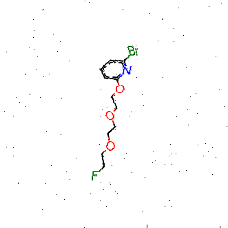 FCCOCCOCCOc1cccc(Br)n1